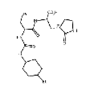 CCC1CCC(OC(=O)NC(CC(C)C)C(=O)NC(C[C@@H]2CCNC2=O)C(=O)O)CC1